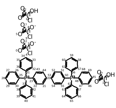 [O]=[Mn](=[O])([O-])[Cl].[O]=[Mn](=[O])([O-])[Cl].[O]=[Mn](=[O])([OH])[Cl].[O]=[Mn](=[O])([OH])[Cl].c1ccc([P+](c2ccccc2)(c2ccccc2)c2ccccc2)cc1.c1ccc([P+](c2ccccc2)(c2ccccc2)c2ccccc2)cc1